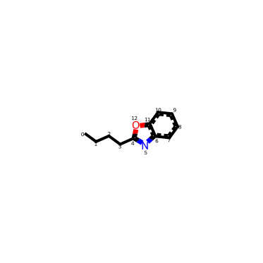 CCCCc1nc2ccccc2o1